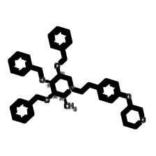 C[C@@H]1[C@@H](OCc2ccccc2)[C@H](OCc2ccccc2)[C@@H](OCc2ccccc2)CN1CCc1ccc(OC2CCCOC2)cc1